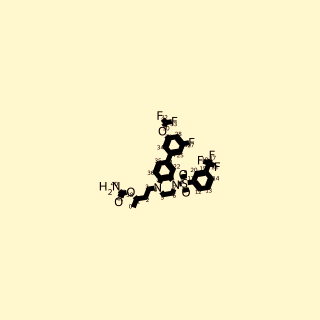 CC(CCN1CCN(S(=O)(=O)c2cccc(C(F)(F)F)c2)c2cc(-c3cc(F)cc(OC(F)F)c3)ccc21)OC(N)=O